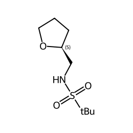 CC(C)(C)S(=O)(=O)NC[C@@H]1CCCO1